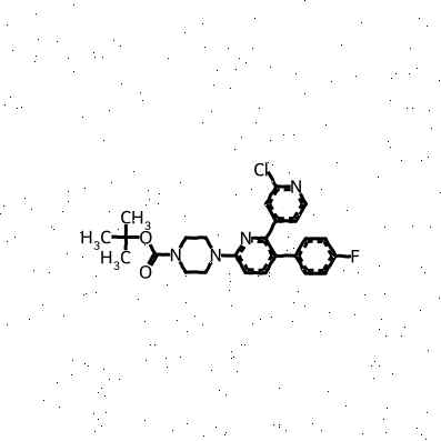 CC(C)(C)OC(=O)N1CCN(c2ccc(-c3ccc(F)cc3)c(-c3ccnc(Cl)c3)n2)CC1